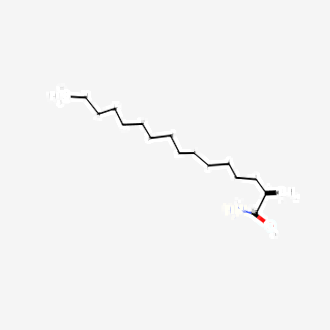 C=C(CCCCCCCCCCCCCC)C(N)=O